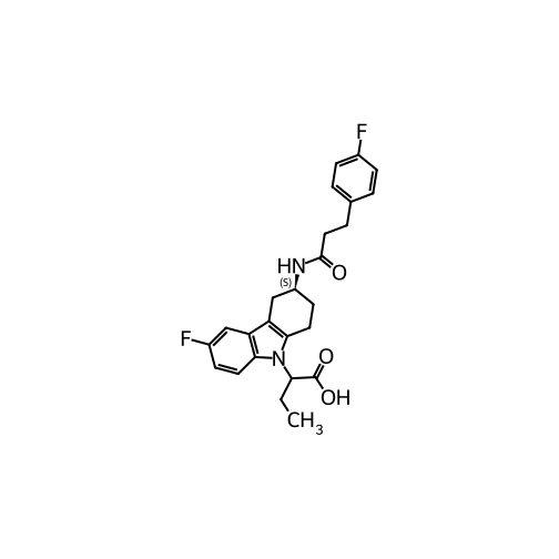 CCC(C(=O)O)n1c2c(c3cc(F)ccc31)C[C@@H](NC(=O)CCc1ccc(F)cc1)CC2